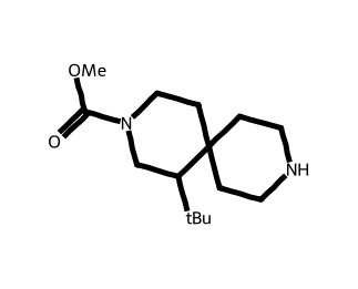 COC(=O)N1CCC2(CCNCC2)C(C(C)(C)C)C1